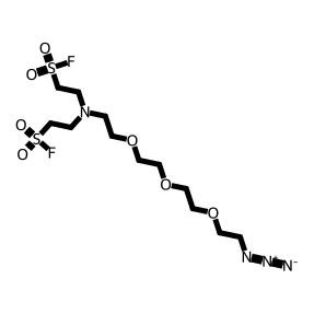 [N-]=[N+]=NCCOCCOCCOCCN(CCS(=O)(=O)F)CCS(=O)(=O)F